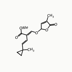 COC(=O)C(/C=C/C1(C)CC1)=C/OC1C=C(C)C(=O)O1